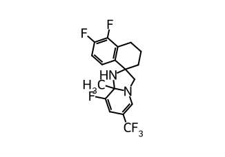 CC12NC3(CCCc4c3ccc(F)c4F)CN1C=C(C(F)(F)F)C=C2F